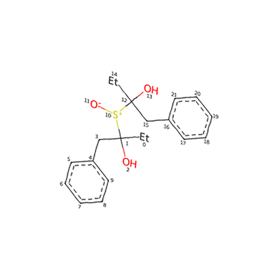 CCC(O)(Cc1ccccc1)[S+]([O-])C(O)(CC)Cc1ccccc1